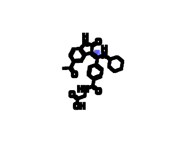 CC(=O)c1ccc2c(c1)/C(=C(/NC1CCCCC1)c1ccc(C(=O)NCC(=O)O)cc1)C(=O)N2